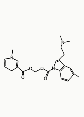 Cc1ccc2c(c1)c(CCN(C)C)cn2C(=O)OCOC(=O)C1=CN(C)C=CC1